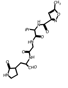 Cc1cc(C(=O)NC(C(=O)NCC(=O)NC(C=O)CC2CCNC2=O)C(C)C)no1